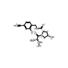 C#Cc1ccc(CNC(=O)[C@@H]2C[C@@H](O)CN2C(=O)[C@@H](NC(C)C)C(C)(C)C)c(Cl)c1